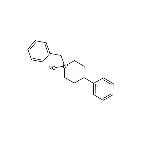 N#C[N+]1(Cc2ccccc2)CCC(c2ccccc2)CC1